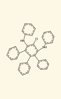 Clc1c(Nc2ccccc2)c(-c2ccccc2)c(-c2ccccc2)c(-c2ccccc2)c1Nc1ccccc1